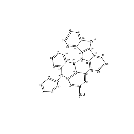 CC(C)(C)c1cc2c3c(c1)N(c1ccccc1)c1ccccc1B3n1c3c-2cccc3c2oc3ccccc3c21